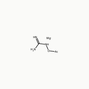 CC(=O)ONC(=N)N.[Mg]